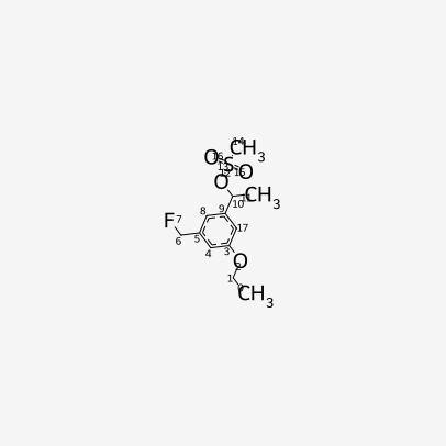 CCOc1cc(CF)cc(C(C)OS(C)(=O)=O)c1